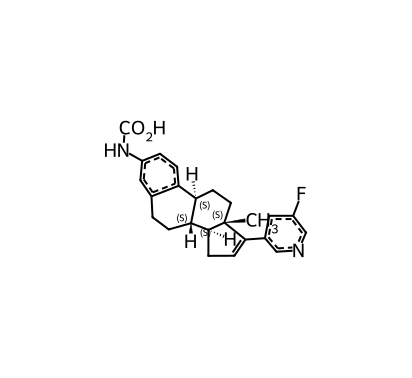 C[C@]12CC[C@@H]3c4ccc(NC(=O)O)cc4CC[C@H]3[C@@H]1CC=C2c1cncc(F)c1